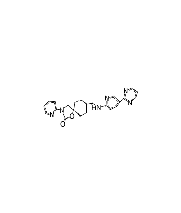 O=C1O[C@]2(CC[C@H](CNc3ccc(-c4ncccn4)cn3)CC2)CN1c1ccccn1